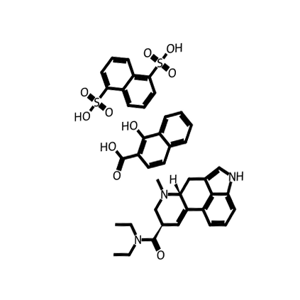 CCN(CC)C(=O)[C@@H]1C=C2c3cccc4[nH]cc(c34)C[C@H]2N(C)C1.O=C(O)c1ccc2ccccc2c1O.O=S(=O)(O)c1cccc2c(S(=O)(=O)O)cccc12